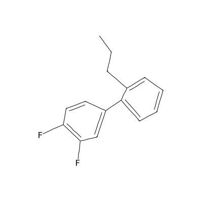 CCCc1ccccc1-c1ccc(F)c(F)c1